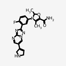 CC1=C(C(N)=O)OC(C)N1c1ccc(F)c(-c2nc3ncc(C4=CCNC4)cn3n2)c1